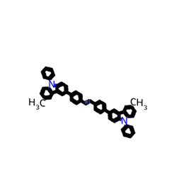 Cc1ccc2c(c1)c1cc(-c3ccc(/C=C/c4ccc(-c5ccc6c(c5)c5cc(C)ccc5n6-c5ccccc5)cc4)cc3)ccc1n2-c1ccccc1